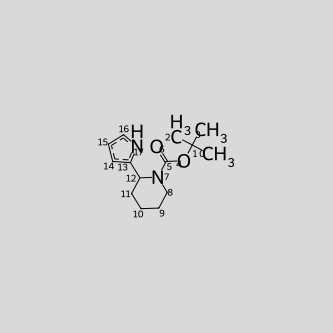 CC(C)(C)OC(=O)N1CCCCC1c1ccc[nH]1